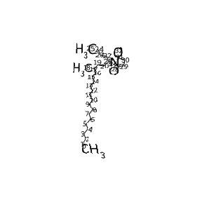 CCCCCCCCCCCCCCCCCC(C)C=CC(CCCC)N1C(=O)CCC1=O